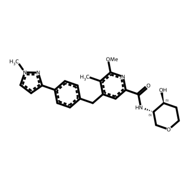 COc1nc(C(=O)N[C@H]2COCC[C@@H]2O)cc(Cc2ccc(-c3ccn(C)n3)cc2)c1C